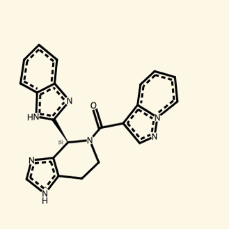 O=C(c1cnn2ccccc12)N1CCc2[nH]cnc2[C@H]1c1nc2ccccc2[nH]1